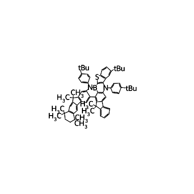 CC(C)(C)c1ccc(N2B3c4sc5ccc(C(C)(C)C)cc5c4N(c4ccc(C(C)(C)C)cc4)c4cc5c(c(c43)-c3cc4c(cc32)C(C)(C)c2cc3c(cc2-4)C(C)(C)CCC3(C)C)C(C)(C)c2ccccc2-5)cc1